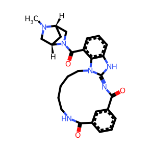 CN1C[C@@H]2C[C@H]1CN2C(=O)c1cccc2c1N1CCCCCNC(=O)c3cccc(c3)C(=O)/N=C/1N2